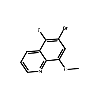 COc1cc(Br)c(F)c2cccnc12